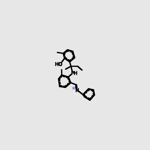 CCC(C)(Pc1c(C)cccc1/C=N/c1ccccc1)c1cccc(C)c1O